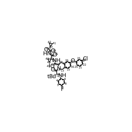 CC(C)(C)[C@H](Nc1ccc(F)cc1)C(=O)N1Cc2ccc(Oc3cccc(Cl)c3)cc2CC1C(=O)N[C@]1(C(=O)NS(=O)(=O)C2CC2)C[C@H]1I